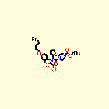 CC/C=C\C=C/COc1ccc(N(C(=O)CCl)[C@H](C(=O)N2CCN(C(=O)OC(C)(C)C)CC2)c2cccs2)c(C)c1